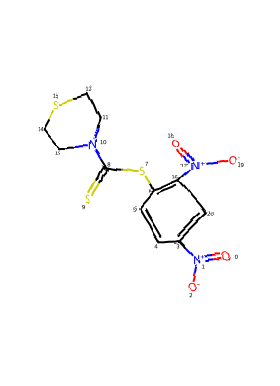 O=[N+]([O-])c1ccc(SC(=S)N2CCSCC2)c([N+](=O)[O-])c1